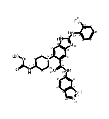 CC(C)(C)OC(=O)NC1CCN(c2cc3[nH]c(Nc4ccccc4C(F)(F)F)nc3cc2C(=O)Nc2ccc3cn[nH]c3c2)CC1